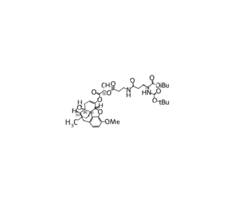 COc1ccc2c3c1O[C@H]1C(OC(=O)[C@H](C)OC(=O)CCNC(=O)CC[C@H](NC(=O)OC(C)(C)C)C(=O)OCC(C)C)=CC[C@@]4(O)[C@@H](C2)C(C)CC[C@]314